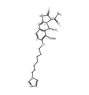 COc1c(OCCCCCCCn2ccnc2)ccc2c1C(C)N1C(=N2)NC(=O)C1C(N)=O